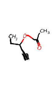 [C]#CC(CC)OC(C)=O